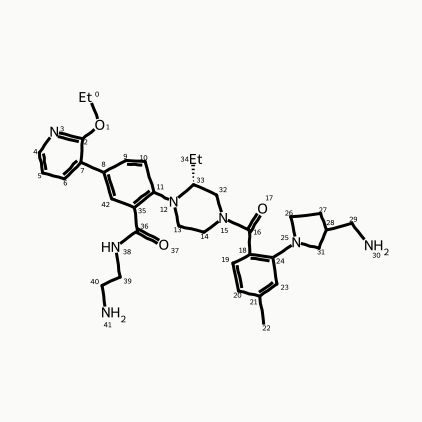 CCOc1ncccc1-c1ccc(N2CCN(C(=O)c3ccc(C)cc3N3CCC(CN)C3)C[C@H]2CC)c(C(=O)NCCN)c1